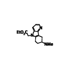 CCOC(=O)Cn1c2c(c3ncccc31)CC(NC)CC2